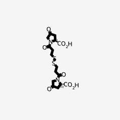 O=C1C[C@@H](C(=O)O)N(C(=O)CCSSCCC(=O)N2CC(=O)C[C@H]2C(=O)O)C1